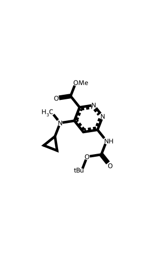 COC(=O)c1nnc(NC(=O)OC(C)(C)C)cc1N(C)C1CC1